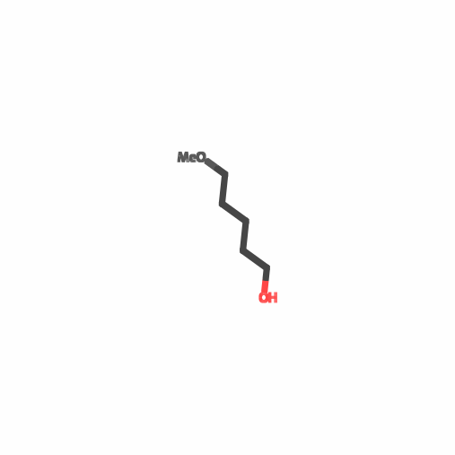 COCCCCCO